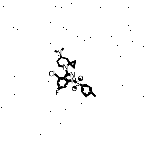 Cc1ccc(S(=O)(=O)n2nc(N3CCC(N(C)C)CC34CC4)c3c(Cl)cc(F)cc32)cc1